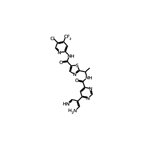 CC(NC(=O)c1cc(/C(C=N)=C/N)ncn1)c1ncc(C(=O)Nc2cc(C(F)(F)F)c(Cl)cn2)s1